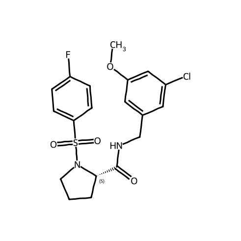 COc1cc(Cl)cc(CNC(=O)[C@@H]2CCCN2S(=O)(=O)c2ccc(F)cc2)c1